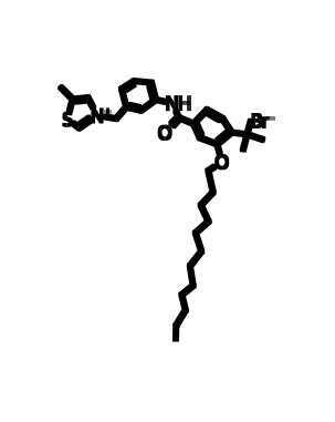 CCCCCCCCCCCCOc1cc(C(=O)Nc2cccc(C[n+]3csc(C)c3)c2)ccc1C(C)(C)C.[Br-]